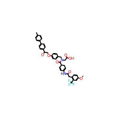 COc1ccc(CC(=O)NC2=CCC(C(=O)N(CC(=O)O)Cc3ccc(OCC(=O)c4ccc(-c5ccc(C)cc5)cc4)cc3)C=C2)c(C(F)(F)F)c1